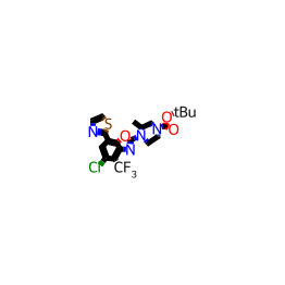 CC1CN(C(=O)OC(C)(C)C)CCN1c1nc2c(C(F)(F)F)c(Cl)cc(-c3nccs3)c2o1